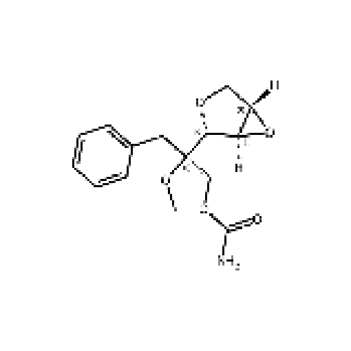 CO[C@@](COC(N)=O)(Cc1ccccc1)[C@@H]1OC[C@@H]2O[C@H]21